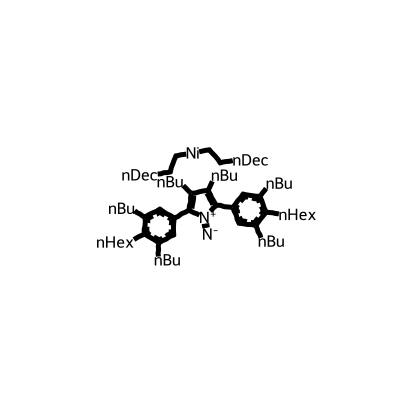 CCCCCCCCCCC[CH2][Ni][CH2]CCCCCCCCCCC.CCCCCCc1c(CCCC)cc(C2=C(CCCC)C(CCCC)=C(c3cc(CCCC)c(CCCCCC)c(CCCC)c3)[N+]2=[N-])cc1CCCC